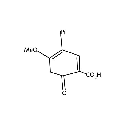 COC1=C(C(C)C)C=C(C(=O)O)C(=O)C1